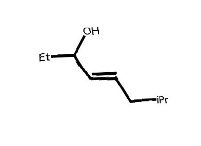 CCC(O)C=CCC(C)C